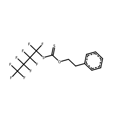 FC(F)(F)C(F)(F)C(F)(F)C(F)(F)SC(=S)OCCc1ccccc1